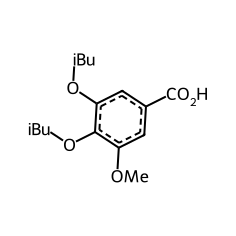 CCC(C)Oc1cc(C(=O)O)cc(OC)c1OC(C)CC